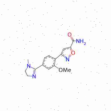 COc1cc(C2=NCCN2C)ccc1-c1cc(C(N)=O)on1